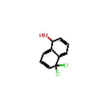 OC1C=CC=C2C1=CC=CC2(Cl)Cl